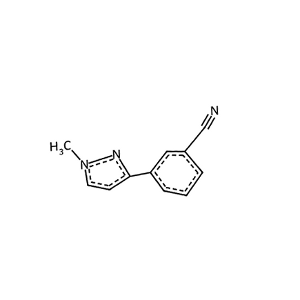 Cn1ccc(-c2cccc(C#N)c2)n1